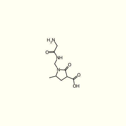 CC1CC(C(=O)O)C(=O)N1CNC(=O)CN